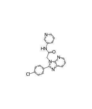 O=C(Cn1c(-c2ccc(Cl)cc2)nc2cccnc21)Nc1cccnc1